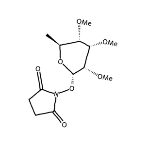 CO[C@@H]1[C@H](OC)[C@H](ON2C(=O)CCC2=O)O[C@@H](C)[C@@H]1OC